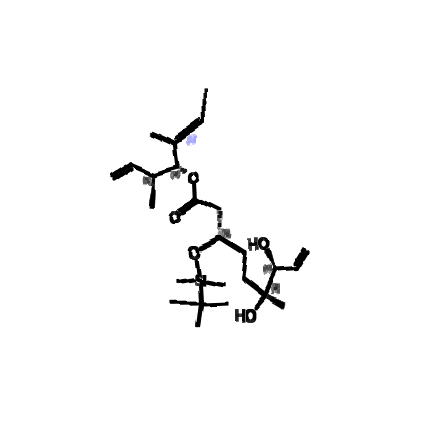 C=C[C@H](C)[C@@H](OC(=O)C[C@H](CC[C@@](C)(O)[C@@H](O)C=C)O[Si](C)(C)C(C)(C)C)/C(C)=C/I